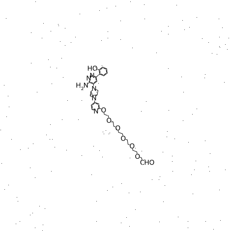 Nc1nnc(-c2ccccc2O)cc1N1CC2CC1=CN2c1ccnc(OCCOCCOCCOCCOCCOCC=O)c1